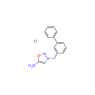 Nc1c[n+](Cc2cccc(-c3ccccc3)c2)no1.[Cl-]